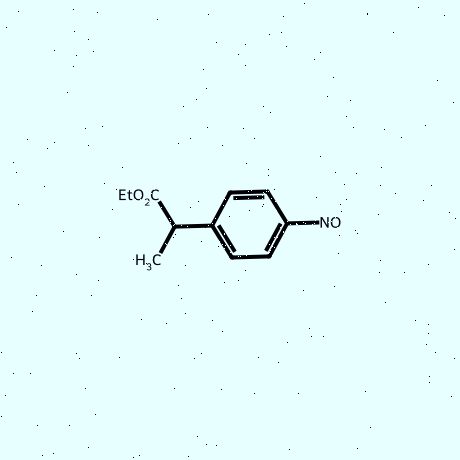 CCOC(=O)C(C)c1ccc(N=O)cc1